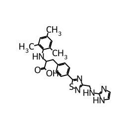 Cc1cc(C)c(NC(Cc2ccc(-c3nc(CNc4ncc[nH]4)ns3)cc2)C(=O)O)c(C)c1